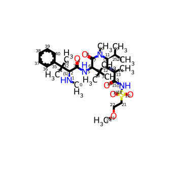 CN[C@H](C(=O)NC(C(=O)N(C)[C@H](/C=C(\C)C(=O)NS(=O)(=O)CCOC)C(C)C)C(C)(C)C)C(C)(C)c1ccccc1